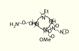 CCC1=C(C)c2cc3[nH]c(cc4nc(c5c6[nH]c(cc1n2)c(C)c6C(=O)N(CCCN1CCOCC1)C5=O)[C@@H](CCC(=O)OC)[C@@H]4C)c(C)c3C(C)OCCOCCN